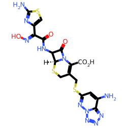 Nc1nc(C(=NO)C(=O)NC2C(=O)N3C(C(=O)O)=C(CSc4cc(N)c5nnnn5n4)CS[C@@H]23)cs1